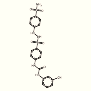 N#Cc1cccc(NC(=O)Nc2ccc(S(=O)(=O)NNc3ccc(S(N)(=O)=O)cc3)cc2)c1